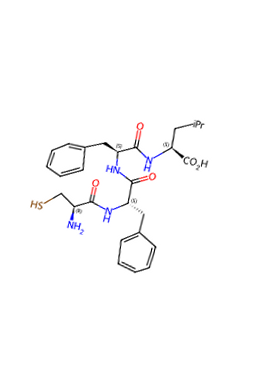 CC(C)C[C@H](NC(=O)[C@H](Cc1ccccc1)NC(=O)[C@H](Cc1ccccc1)NC(=O)[C@@H](N)CS)C(=O)O